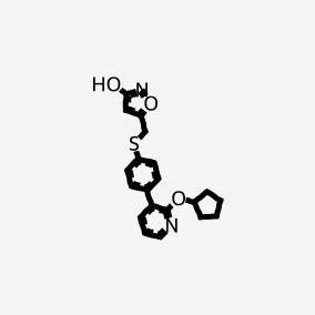 Oc1cc(CSc2ccc(-c3cccnc3OC3CCCC3)cc2)on1